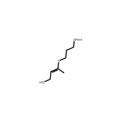 CCCCCCCCS/C(C)=C/CO